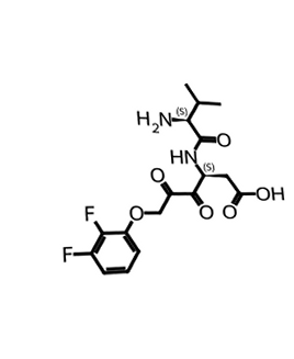 CC(C)[C@H](N)C(=O)N[C@@H](CC(=O)O)C(=O)C(=O)COc1cccc(F)c1F